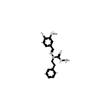 COc1cc(/C=N/N(CCc2ccccc2)C(=O)OC(C)(C)C)ccc1F